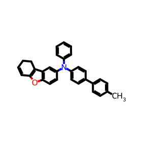 Cc1ccc(-c2ccc(N(c3ccccc3)c3ccc4oc5c(c4c3)CCC=C5)cc2)cc1